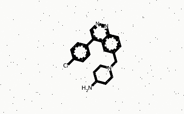 NC1CCN(Cc2ccc3nncc(-c4ccc(Cl)cc4)c3c2)CC1